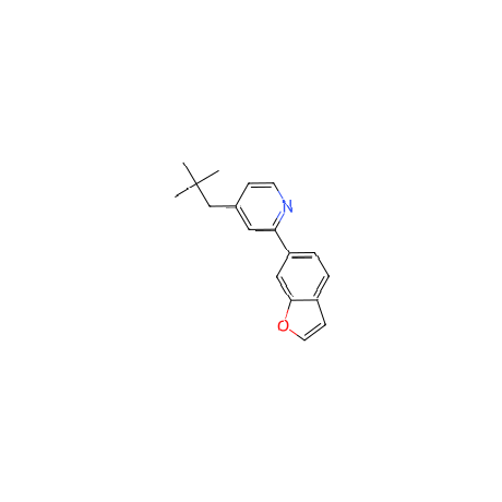 CC(C)(C)Cc1ccnc(-c2ccc3ccoc3c2)c1